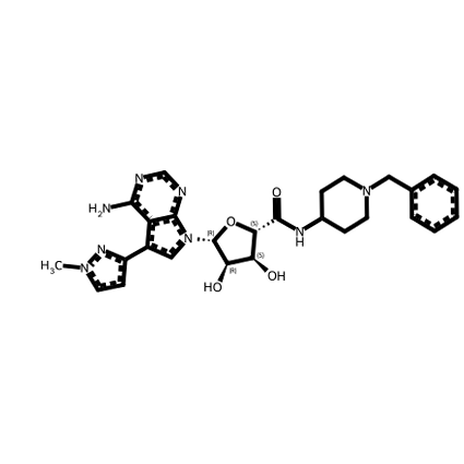 Cn1ccc(-c2cn([C@@H]3O[C@H](C(=O)NC4CCN(Cc5ccccc5)CC4)[C@@H](O)[C@H]3O)c3ncnc(N)c23)n1